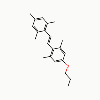 CCCOc1cc(C)c(C=Cc2c(C)cc(C)cc2C)c(C)c1